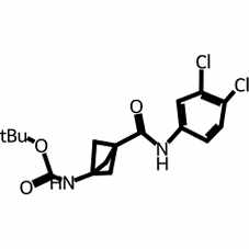 CC(C)(C)OC(=O)NC12CC(C(=O)Nc3ccc(Cl)c(Cl)c3)(C1)C2